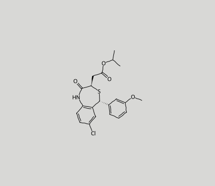 COc1cccc([C@H]2S[C@H](CC(=O)OC(C)C)C(=O)Nc3ccc(Cl)cc32)c1